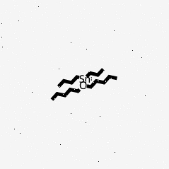 CCCCCOCCCCC.CCC[CH2][Sn][CH2]CC